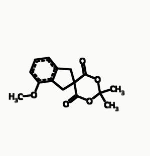 COc1cccc2c1CC1(C2)C(=O)OC(C)(C)OC1=O